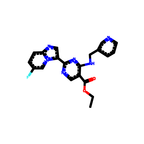 CCOC(=O)c1cnc(-c2cnc3ccc(F)cn23)nc1NCc1cccnc1